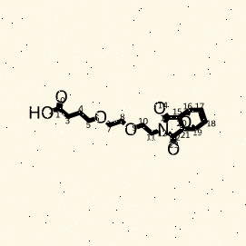 O=C(O)CCCOCCOCCN1C(=O)C2C3C=CC(O3)C2C1=O